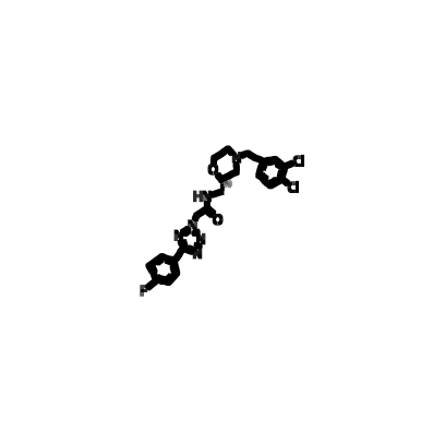 O=C(Cn1nnc(-c2ccc(F)cc2)n1)NC[C@H]1CN(Cc2ccc(Cl)c(Cl)c2)CCO1